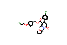 CC1=C(C(=O)OCc2ccc(OCCCl)cc2)[C@@H](c2ccc(Cl)cc2)CC(=O)N1C[C@@H]1CCCO1